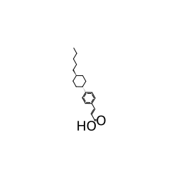 CCCCC[C@H]1CC[C@H](c2ccc(C=CC(=O)O)cc2)CC1